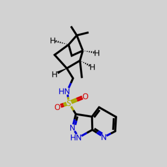 C[C@H]1[C@H](CNS(=O)(=O)c2n[nH]c3ncccc23)C[C@@H]2C[C@H]1C2(C)C